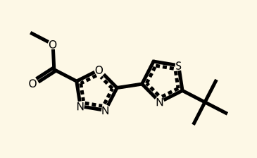 COC(=O)c1nnc(-c2csc(C(C)(C)C)n2)o1